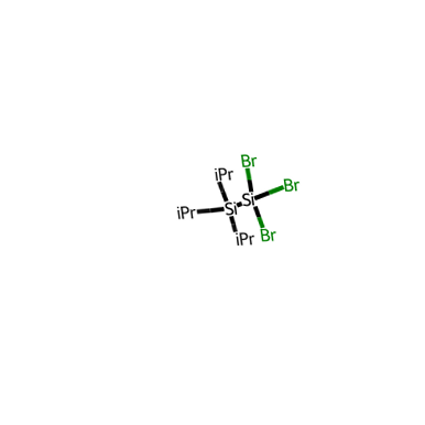 CC(C)[Si](C(C)C)(C(C)C)[Si](Br)(Br)Br